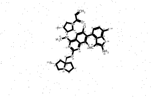 C=CC(=O)N1C[C@@H](F)[C@@H](N(C)c2nc(OC[C@@]34CCCN3C[C@H](F)C4)nc3c(F)c(-c4ccc(F)c5sc(N)c(C#N)c45)c(Cl)cc23)C1